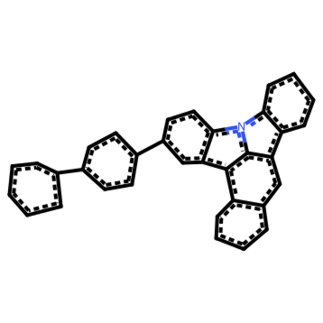 c1ccc(-c2ccc(-c3ccc4c(c3)c3c5ccccc5cc5c6ccccc6n4c53)cc2)cc1